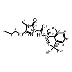 CCCOc1nn(C(=O)NS(=O)(=O)c2c(I)cccc2C(F)(F)F)c(=O)n1C